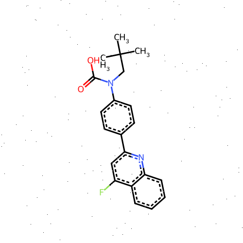 CC(C)(C)CN(C(=O)O)c1ccc(-c2cc(F)c3ccccc3n2)cc1